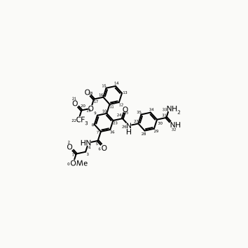 COC(=O)CNC(=O)c1ccc(-c2ccccc2C(=O)OC(=O)C(F)(F)F)c(C(=O)Nc2ccc(C(=N)N)cc2)c1